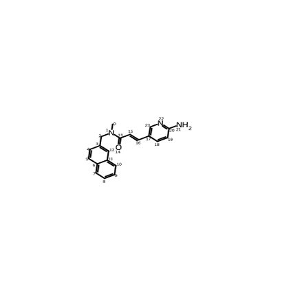 CN(Cc1ccc2ccccc2c1)C(=O)/C=C/c1ccc(N)nc1